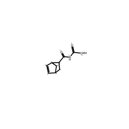 COC(=O)NC(=O)C1CC2C=CC1C2